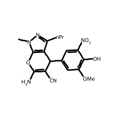 CCCc1nn(C)c2c1C(c1cc(OC)c(O)c([N+](=O)[O-])c1)C(C#N)=C(N)O2